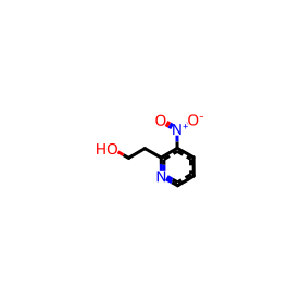 O=[N+]([O-])c1cccnc1CCO